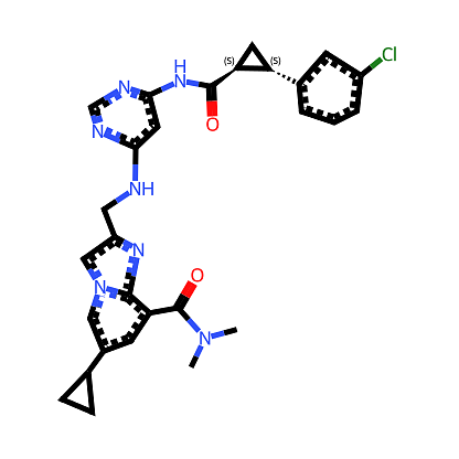 CN(C)C(=O)c1cc(C2CC2)cn2cc(CNc3cc(NC(=O)[C@H]4C[C@@H]4c4cccc(Cl)c4)ncn3)nc12